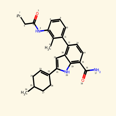 Cc1c(NC(=O)CC(C)C)cccc1-c1ccc(C(N)=O)c2[nH]c(C3=CCC(C)CC3)cc12